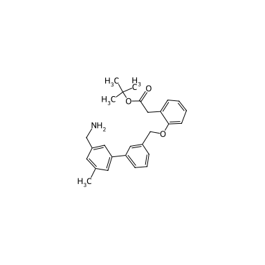 Cc1cc(CN)cc(-c2cccc(COc3ccccc3CC(=O)OC(C)(C)C)c2)c1